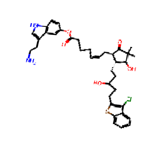 CC1(C)C(=O)[C@H](C/C=C\CCCC(=O)Oc2ccc3[nH]cc(CCN)c3c2)[C@@H](CCC(O)CCc2sc3ccccc3c2Cl)C1O